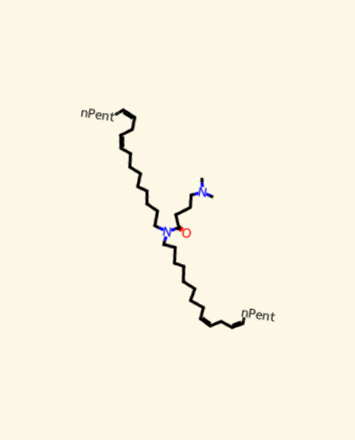 CCCCC/C=C\C/C=C\CCCCCCCCN(CCCCCCCC/C=C\C/C=C\CCCCC)C(=O)CCCN(C)C